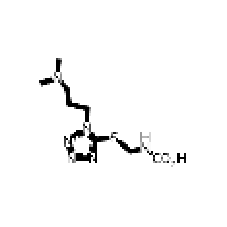 CN(C)CCCn1nnnc1SCNC(=O)O